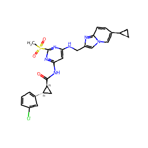 CS(=O)(=O)c1nc(NCc2cn3cc(C4CC4)ccc3n2)cc(NC(=O)[C@H]2C[C@@H]2c2cccc(Cl)c2)n1